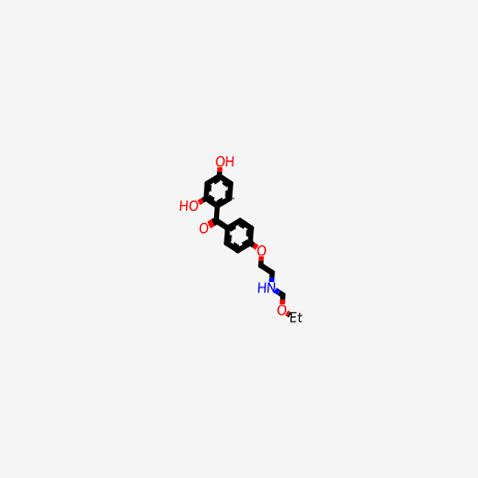 CCOCNCCOc1ccc(C(=O)c2[c]cc(O)cc2O)cc1